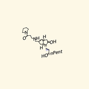 CCCCC[C@H](O)/C=C/[C@@H]1[C@H]2CC(CNCCC(=O)N3CCCC3)=C[C@H]2C[C@H]1O